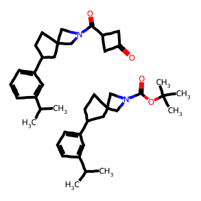 CC(C)c1cccc(C2CCC3(C2)CN(C(=O)C2CC(=O)C2)C3)c1.CC(C)c1cccc(C2CCC3(C2)CN(C(=O)OC(C)(C)C)C3)c1